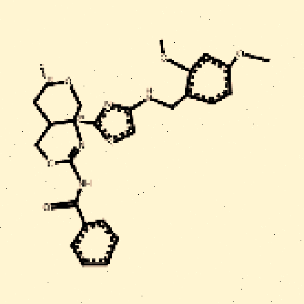 COc1ccc(CNc2csc([C@]34CO[C@@H](C)CC3COC(NC(=O)c3ccccc3)=N4)n2)c(OC)c1